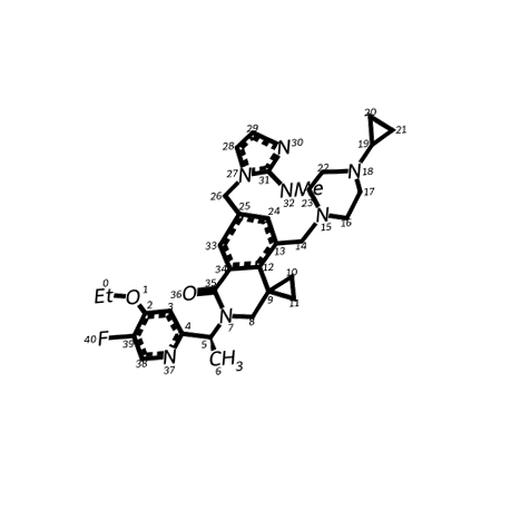 CCOc1cc([C@H](C)N2CC3(CC3)c3c(CN4CCN(C5CC5)CC4)cc(Cn4ccnc4NC)cc3C2=O)ncc1F